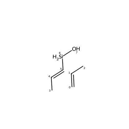 C=CC.CC=C[SiH2]O